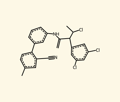 C=C(Nc1cccc(-c2ccc(C)cc2C#N)c1)C(c1cc(Cl)cc(Cl)c1)C(C)Cl